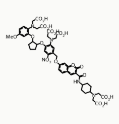 COc1ccc(N(CC(=O)O)CC(=O)O)c(OC2CCCC2Oc2cc([N+](=O)[O-])c(COc3ccc4cc(C(=O)NC5CCC(N(CC(=O)O)CC(=O)O)CC5)c(=O)oc4c3)cc2N(CC(=O)O)CC(=O)O)c1